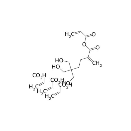 C=CC(=O)O.C=CC(=O)O.C=CC(=O)O.C=CC(=O)OC(=O)C(=C)CCC(CO)(CO)CO